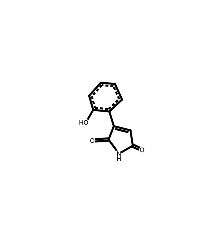 O=C1C=C(c2ccccc2O)C(=O)N1